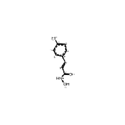 CCc1ccc(/C=C/C(=O)NO)cc1